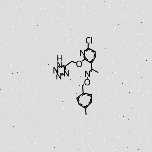 C/C(=N\OCc1ccc(C)cc1)c1ccc(Cl)nc1OCc1nnn[nH]1